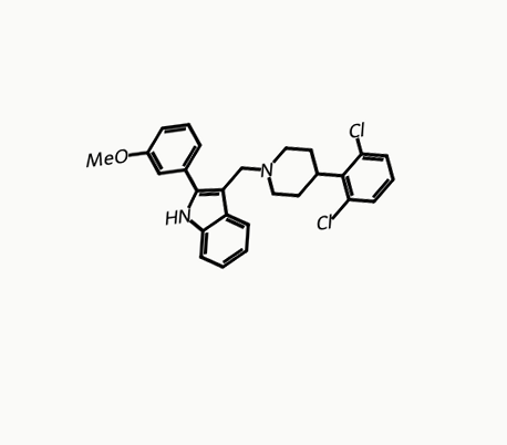 COc1cccc(-c2[nH]c3ccccc3c2CN2CCC(c3c(Cl)cccc3Cl)CC2)c1